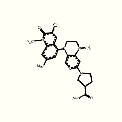 CNC(=O)C1CCN(c2cc3c(cn2)N(c2cc(OC)cc4c2cc(C)c(=O)n4C)CCN3C)C1